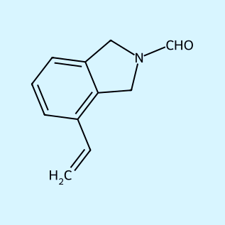 C=Cc1cccc2c1CN(C=O)C2